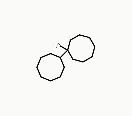 PC1(C2CCCCCCC2)CCCCCCC1